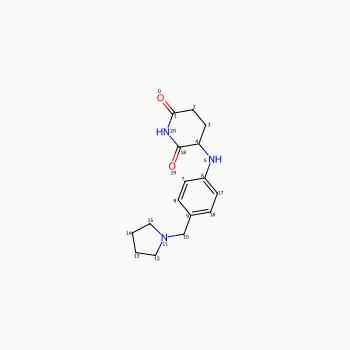 O=C1CCC(Nc2ccc(CN3CCCC3)cc2)C(=O)N1